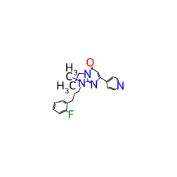 CC1(C)Cn2c(nc(-c3ccncc3)cc2=O)N1CCCc1ccccc1F